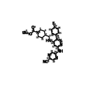 CC(C)(C)OC(=O)N1CCC(CNc2cc(Nc3cnc(C#N)cn3)nnc2-c2ccc(F)cc2)CC1